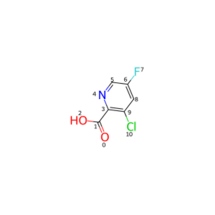 O=C(O)c1ncc(F)cc1Cl